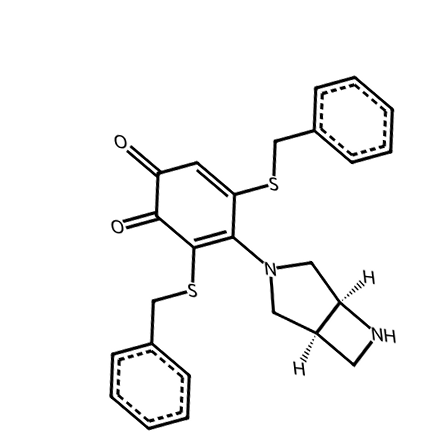 O=C1C=C(SCc2ccccc2)C(N2C[C@@H]3CN[C@@H]3C2)=C(SCc2ccccc2)C1=O